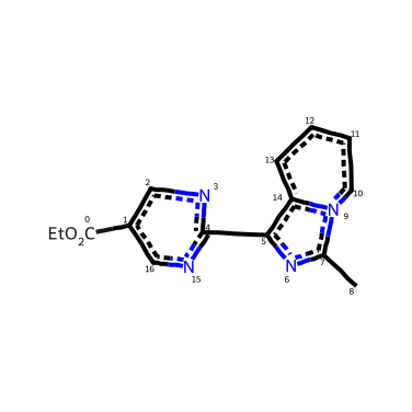 CCOC(=O)c1cnc(-c2nc(C)n3ccccc23)nc1